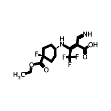 CCOC(=O)[C@]1(F)CC[C@H](N/C(=C(\C=N)C(=O)O)C(F)(F)F)CC1